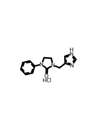 Cl.O=C1N(Cc2c[nH]cn2)CCN1c1ccccc1